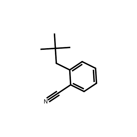 CC(C)(C)Cc1ccccc1C#N